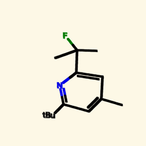 Cc1cc(C(C)(C)C)nc(C(C)(C)F)c1